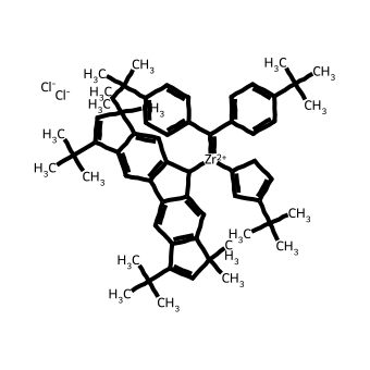 CC(C)(C)C1=CC[C]([Zr+2](=[C](c2ccc(C(C)(C)C)cc2)c2ccc(C(C)(C)C)cc2)[CH]2c3cc4c(cc3-c3cc5c(cc32)C(C)(C)C=C5C(C)(C)C)C(C(C)(C)C)=CC4(C)C)=C1.[Cl-].[Cl-]